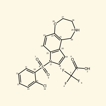 O=C(O)C(F)(F)F.O=S(=O)(c1ccccc1Cl)n1ccc2c3c(ccc21)OCCNC3